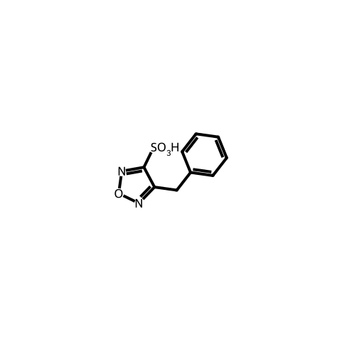 O=S(=O)(O)c1nonc1Cc1ccccc1